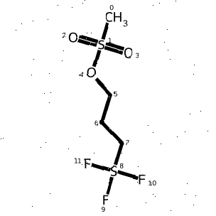 CS(=O)(=O)OCCCS(F)(F)F